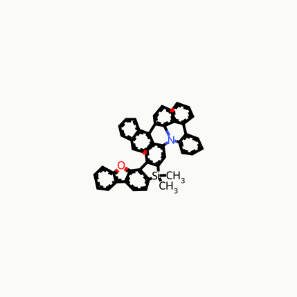 C[Si]1(C)c2cc(N(c3ccccc3-c3ccccc3)c3ccccc3-c3cccc4ccccc34)ccc2-c2c1ccc1c2oc2ccccc21